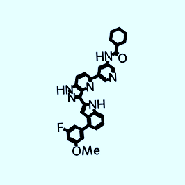 COc1cc(F)cc(-c2cccc3[nH]c(-c4n[nH]c5ccc(-c6cncc(NC(=O)C7CCCCC7)c6)nc45)cc23)c1